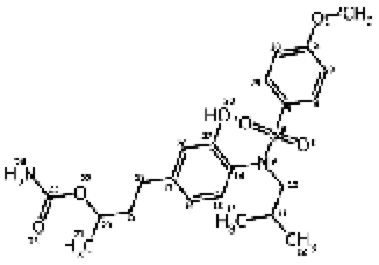 COc1ccc(S(=O)(=O)N(CC(C)C)c2ccc(CCC(C)OC(N)=O)cc2O)cc1